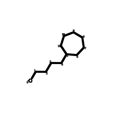 [O]CCCCC1CCCCCC1